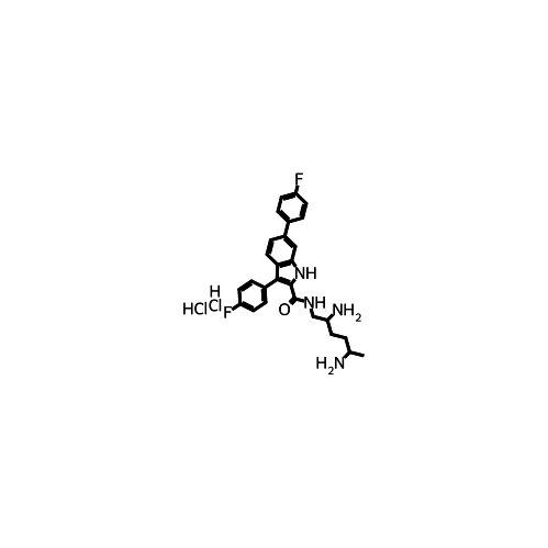 CC(N)CCC(N)CNC(=O)c1[nH]c2cc(-c3ccc(F)cc3)ccc2c1-c1ccc(F)cc1.Cl.Cl